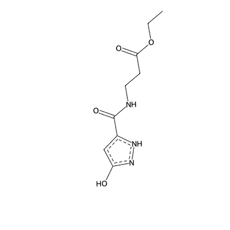 CCOC(=O)CCNC(=O)c1cc(O)n[nH]1